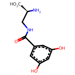 N[C@@H](CNC(=O)c1cc(O)cc(O)c1)C(=O)O